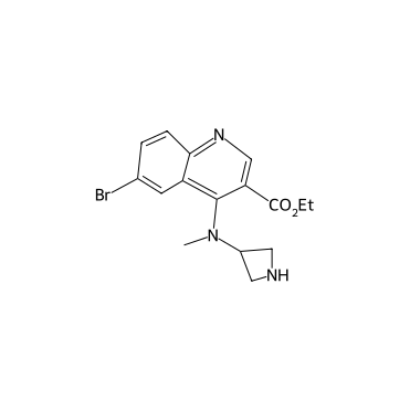 CCOC(=O)c1cnc2ccc(Br)cc2c1N(C)C1CNC1